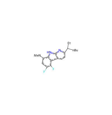 CCCCC(CC)c1ccc2c(n1)[nH]c1c(NC)cc(F)c(F)c12